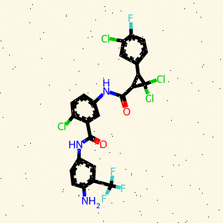 Nc1ccc(NC(=O)c2cc(NC(=O)C3C(c4ccc(F)c(Cl)c4)C3(Cl)Cl)ccc2Cl)cc1C(F)(F)F